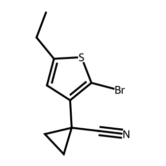 CCc1cc(C2(C#N)CC2)c(Br)s1